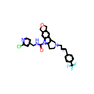 O=C(NCc1ccnc(Cl)c1)n1c2c(c3cc4c(cc31)COC4)CN(C/C=C/c1ccc(C(F)(F)F)cc1)CC2